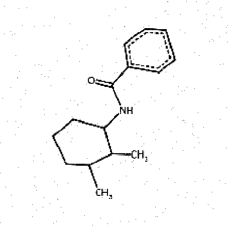 CC1CCCC(NC(=O)c2ccccc2)C1C